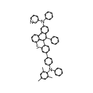 Cc1cc(C)c(N(c2ccccc2)c2ccc(-c3ccc4c(c3)Sc3cccc5c3c-4c(-c3ccccc3)c3ccc(N(c4ccccc4)c4cccnc4)cc35)cc2)c(C)c1